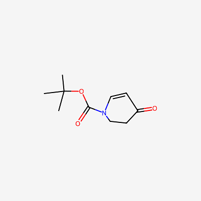 CC(C)(C)OC(=O)N1C=CC(=O)CC1